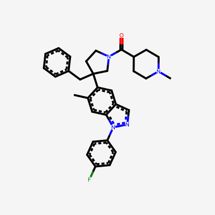 Cc1cc2c(cnn2-c2ccc(F)cc2)cc1C1(Cc2ccccc2)CCN(C(=O)C2CCN(C)CC2)C1